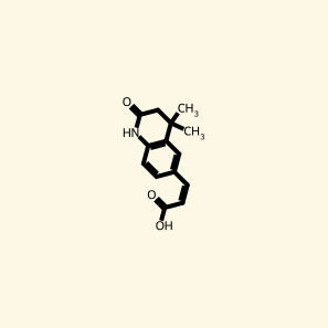 CC1(C)CC(=O)Nc2ccc(/C=C\C(=O)O)cc21